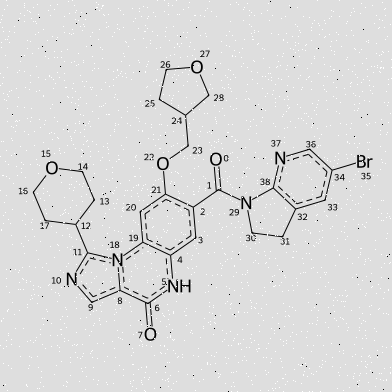 O=C(c1cc2[nH]c(=O)c3cnc(C4CCOCC4)n3c2cc1OCC1CCOC1)N1CCc2cc(Br)cnc21